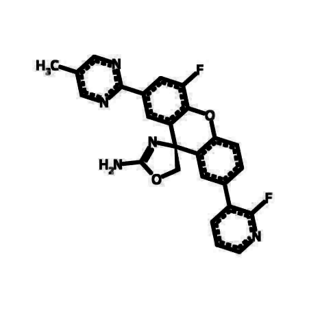 Cc1cnc(-c2cc(F)c3c(c2)[C@]2(COC(N)=N2)c2cc(-c4cccnc4F)ccc2O3)nc1